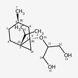 CC(C)[C@@]12CC[C@@H](C)C[C@@]1(OC(CO)CO)C2